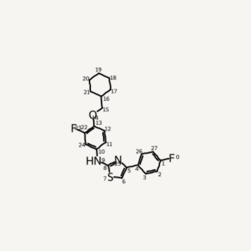 Fc1ccc(-c2csc(Nc3ccc(OCC4CCCCC4)c(F)c3)n2)cc1